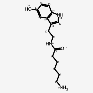 NCCCCCC(=O)NCCc1c[nH]c2ccc(O)cc12